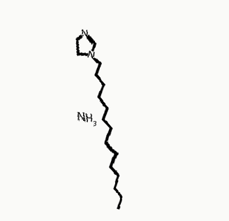 CCCCCCCCCCCCCCN1C=NCC1.N